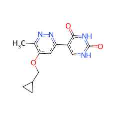 Cc1nnc(-c2c[nH]c(=O)[nH]c2=O)cc1OCC1CC1